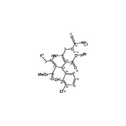 COC(=O)C1=C(CF)NC(COC(N)=O)=C(C(=O)OC(C)C)C1c1cccc(Cl)c1Cl